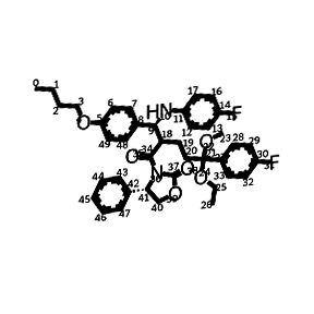 CCCCOc1ccc([C@@H](Nc2ccc(F)cc2)C(CCC(OC)(OCC)c2ccc(F)cc2)C(=O)N2C(=O)OC[C@@H]2c2ccccc2)cc1